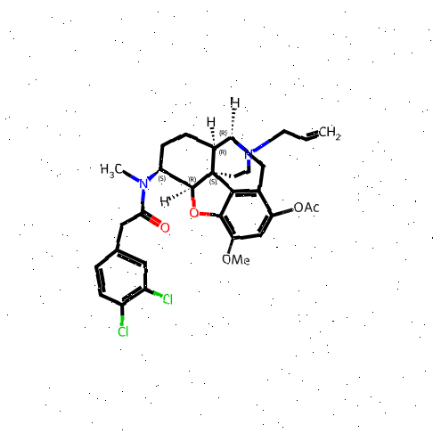 C=CCN1CC[C@]23c4c5c(OC(C)=O)cc(OC)c4O[C@H]2[C@@H](N(C)C(=O)Cc2ccc(Cl)c(Cl)c2)CC[C@H]3[C@H]1C5